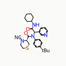 CC(C)(C)c1ccc(N(C(=O)[C@H]2CSCCN2C#N)C(C(=O)NC2CCCCC2)c2cccnc2)cc1